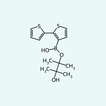 CC(C)(O)C(C)(C)OB(O)c1ccsc1-c1cccs1